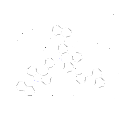 c1cc(-c2ccc(N(c3cccc(-c4cccc5c4c4ccccc4n5-c4cccc5ccccc45)c3)c3ccc(-c4cccc5ccccc45)c4sc5ccccc5c34)cc2)cc(-c2cccc3ccccc23)c1